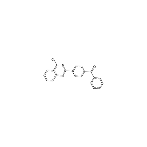 O=C(c1ccccc1)c1ccc(-c2nc(Cl)c3ccccc3n2)cc1